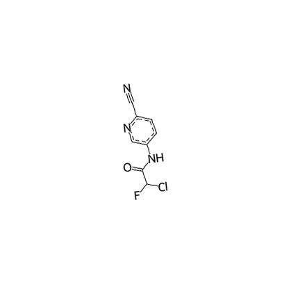 N#Cc1ccc(NC(=O)C(F)Cl)cn1